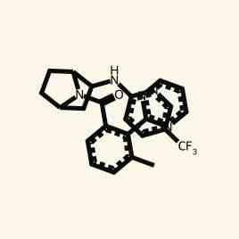 Cc1cccc(C(=O)N2C3CCC2C(Nc2ccc(C(F)(F)F)cn2)C3)c1-c1ncccn1